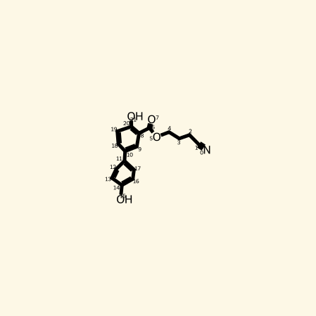 N#CCCCOC(=O)c1cc(-c2ccc(O)cc2)ccc1O